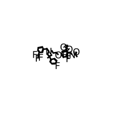 CC(=O)NCc1c(F)cc(OCCCN(Cc2cccc(C(F)(F)F)c2)CC(C)(C)c2ccc(F)cc2)cc1S(C)(=O)=O